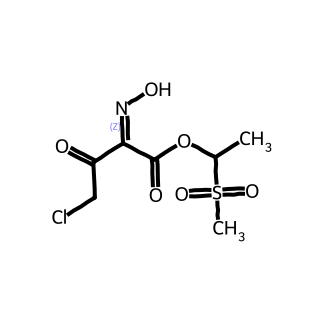 CC(OC(=O)/C(=N\O)C(=O)CCl)S(C)(=O)=O